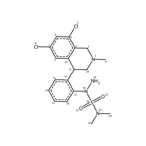 CN1Cc2c(Cl)cc(Cl)cc2C(c2ccccc2N(N)S(=O)(=O)N(C)C)C1